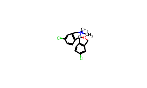 C[N+]1(C)Cc2cc(Cl)ccc2[B-]12OCc1cc(Cl)ccc12